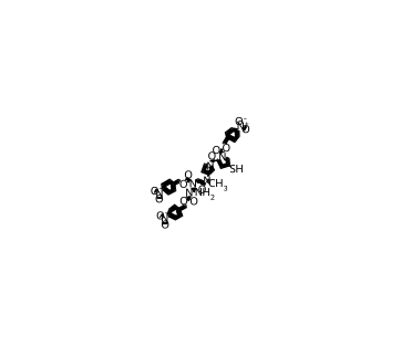 CN(C(=O)CN(C(=O)OCc1ccc([N+](=O)[O-])cc1)C(N)=NC(=O)OCc1ccc([N+](=O)[O-])cc1)[C@H]1CCN(C(=O)[C@@H]2C[C@H](S)CN2C(=O)OCc2ccc([N+](=O)[O-])cc2)C1